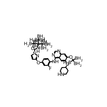 BC(B)(B)Oc1cc2ncnc(Nc3ccc(Oc4ccn(C(=O)NC(C(B)(B)B)(C(B)(B)B)C(B)(B)B)n4)cc3F)c2cc1OC1CCNCC1